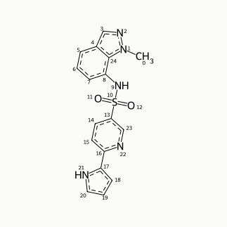 Cn1ncc2cccc(NS(=O)(=O)c3ccc(-c4ccc[nH]4)nc3)c21